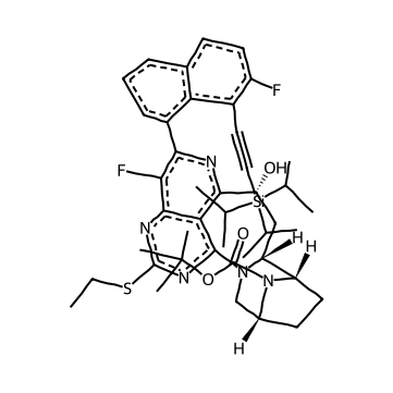 CCSc1nc2c3c(nc(-c4cccc5ccc(F)c(C#C[Si](C(C)C)(C(C)C)C(C)C)c45)c(F)c3n1)[C@H](O)C[C@@H]1[C@@H]3CC[C@H](CN21)N3C(=O)OC(C)(C)C